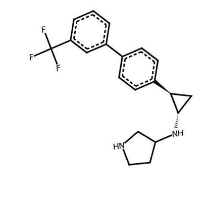 FC(F)(F)c1cccc(-c2ccc([C@H]3C[C@@H]3NC3CCNC3)cc2)c1